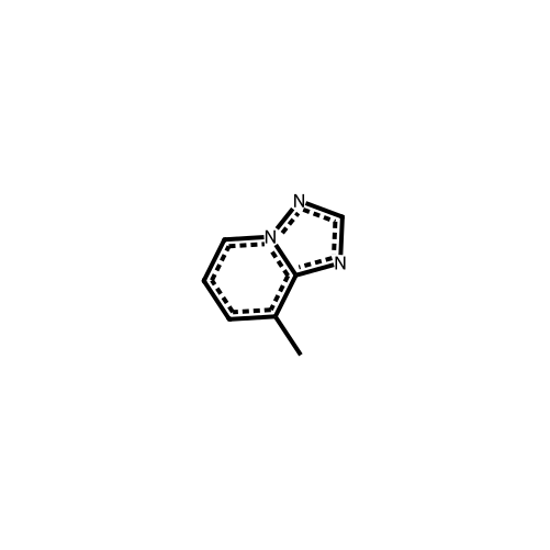 Cc1cccn2ncnc12